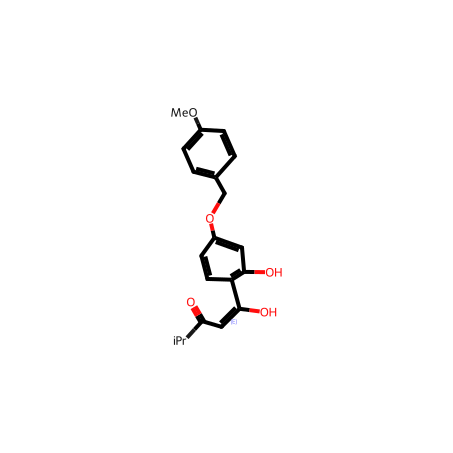 COc1ccc(COc2ccc(/C(O)=C\C(=O)C(C)C)c(O)c2)cc1